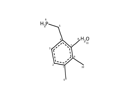 Cc1ccc(CP)c(C)c1C.O